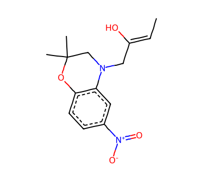 CC=C(O)CN1CC(C)(C)Oc2ccc([N+](=O)[O-])cc21